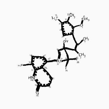 COc1c(C(C)C(C)C(O)(/C=N/c2ccc(F)c3[nH]c(=O)ccc23)C(F)(F)F)ccc(C)c1C